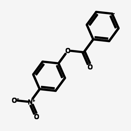 O=C(Oc1ccc([N+](=O)[O-])cc1)c1cc[c]cc1